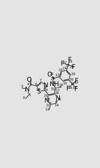 CCN(C)C(=O)c1cnc(-c2nc(C)cnc2[C@H](C)NC(=O)c2cc(C(F)(F)F)cc(C(F)(F)F)c2)s1